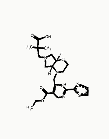 CCOC(=O)C1=C(CN2CCO[C@H]3CN(CC(C)(C)C(=O)O)C[C@H]32)NC(c2nccs2)=NC1